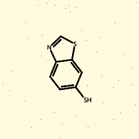 Sc1ccc2ncsc2c1